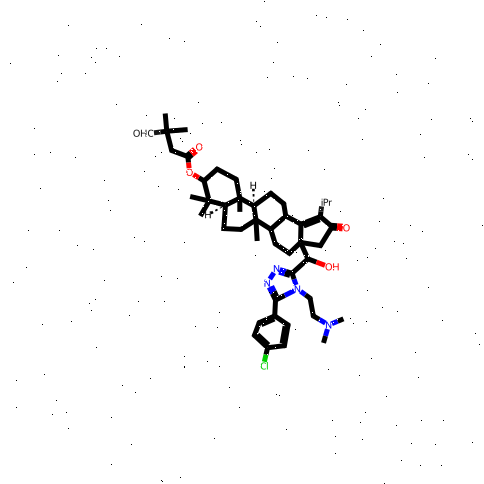 CC(C)C1=C2C3CC[C@H]4C(C)(CC[C@H]5C(C)(C)C(OC(=O)CC(C)(C)C=O)CCC54C)C3CCC2(C(O)c2nnc(-c3ccc(Cl)cc3)n2CCN(C)C)CC1=O